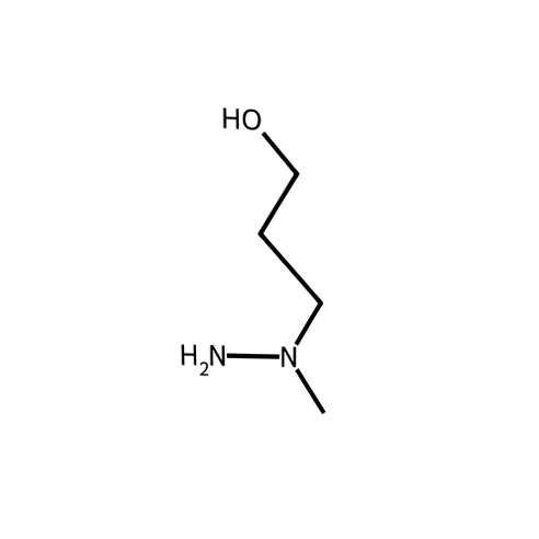 CN(N)CCCO